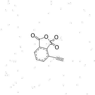 C#Cc1cccc2c1S(=O)(=O)OC2=O